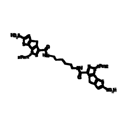 CCCCCn1nc(C(=O)NCCCCCCNC(=O)c2nn(CCCCC)c3c2Cc2cc(S(=O)(=O)O)sc2-3)c2c1-c1sc(S(=O)(=O)O)cc1C2